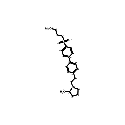 COCCCS(=O)(=O)c1ccc(-c2ccc(CCN3CCCC3C)cc2)cc1